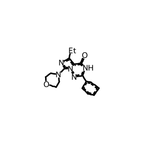 CCc1nc(N2CCOCC2)n2nc(-c3ccccc3)[nH]c(=O)c12